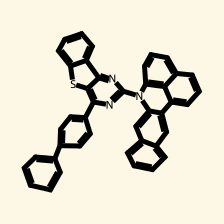 c1ccc(-c2ccc(-c3nc(N4c5cc6ccccc6cc5-c5cccc6cccc4c56)nc4c3sc3ccccc34)cc2)cc1